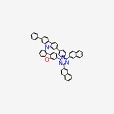 c1ccc(-c2ccc3c4ccc(-c5ccccc5)cc4n(-c4cccc5oc6cc(-c7nc(-c8ccc9ccccc9c8)nc(-c8ccc9ccccc9c8)n7)ccc6c45)c3c2)cc1